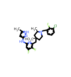 Cc1cc(Nc2cc(F)c(F)c(C[C@@]3(C(=O)O)CCN(Cc4cccc(Cl)c4F)[C@H](C)C3)n2)n[nH]1